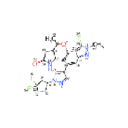 CC(Oc1cc(-c2cnn(C3CCC(F)(F)C3)c2)cc2nn(C)c(F)c12)C1CNC(=O)C1